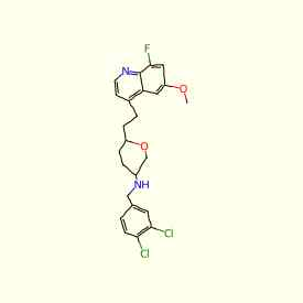 COc1cc(F)c2nccc(CCC3CCC(NCc4ccc(Cl)c(Cl)c4)CO3)c2c1